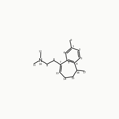 Cc1ccc2c(c1)C(CCN(C)C)=CCCC2C